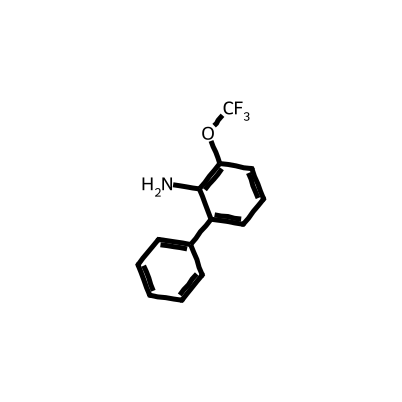 Nc1c(OC(F)(F)F)cccc1-c1ccccc1